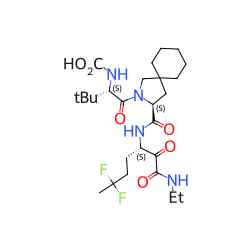 CCNC(=O)C(=O)[C@H](CCC(C)(F)F)NC(=O)[C@@H]1CC2(CCCCC2)CN1C(=O)[C@@H](NC(=O)O)C(C)(C)C